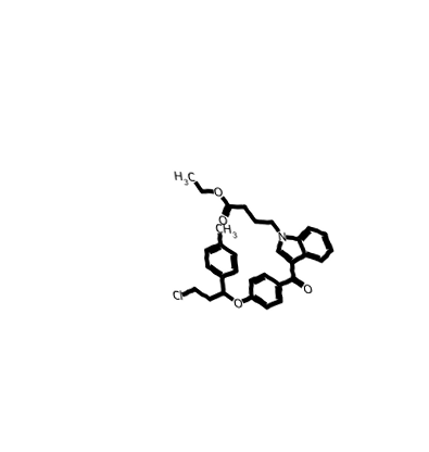 CCOC(=O)CCCn1cc(C(=O)c2ccc(OC(CCCl)c3ccc(C)cc3)cc2)c2ccccc21